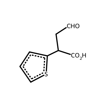 O=CCC(C(=O)O)c1cccs1